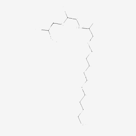 CCCCCCCCCCCCCCCCCCCCNCC(C)NCC(C)NCC(C)N